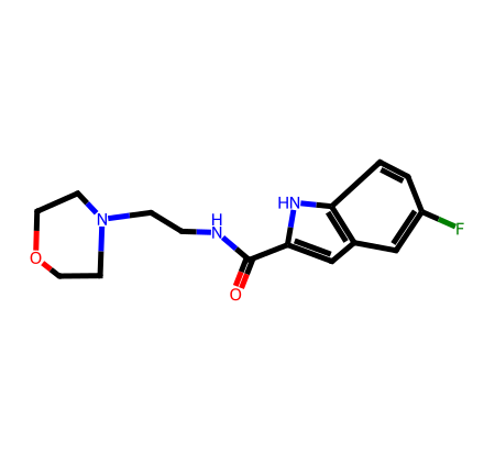 O=C(NCCN1CCOCC1)c1cc2cc(F)ccc2[nH]1